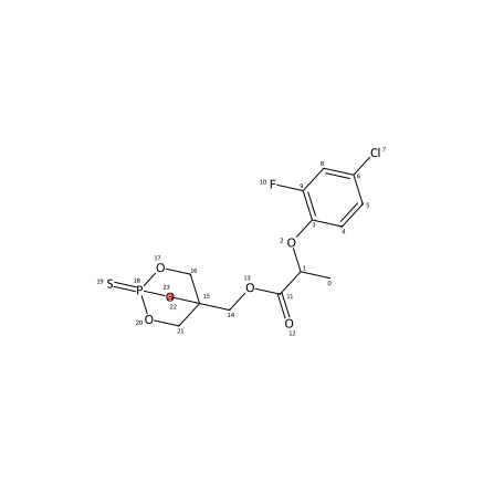 CC(Oc1ccc(Cl)cc1F)C(=O)OCC12COP(=S)(OC1)OC2